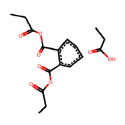 CCC(=O)O.CCC(=O)OC(=O)c1ccccc1C(=O)OC(=O)CC